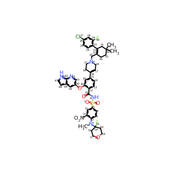 CN(c1ccc(S(=O)(=O)NC(=O)c2ccc(C3=CCN(CC4=C(c5ccc(Cl)cc5F)CC(C)(C)CC4)CC3)cc2Oc2cnc3[nH]ccc3c2)cc1[N+](=O)[O-])C1(F)CCOCC1